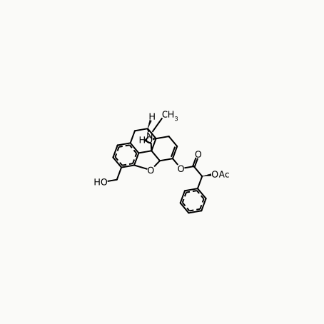 CC(=O)O[C@H](C(=O)OC1=CC[C@@]2(O)[C@H]3Cc4ccc(CO)c5c4C2(CCN3C)C1O5)c1ccccc1